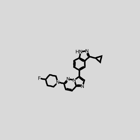 FC1CCN(c2ccc3ncc(-c4ccc5[nH]nc(C6CC6)c5c4)n3n2)CC1